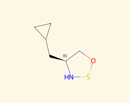 C1CC1C[C@H]1COSN1